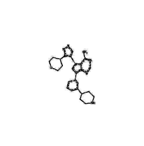 Nc1ncnn2c(-c3cccc(C4CCNCC4)c3)cc(-c3cnnn3C3CCOCC3)c12